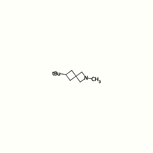 CN1CC2(CC(C(C)(C)C)C2)C1